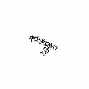 COC(=O)c1cc(N2CC3CCC2C3)nc2ccc(NC(=O)CCc3ccc(C(F)(F)F)cc3)cc12